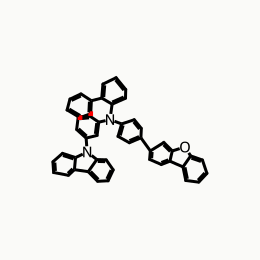 c1ccc(-c2ccccc2N(c2ccc(-c3ccc4c(c3)oc3ccccc34)cc2)c2cccc(-n3c4ccccc4c4ccccc43)c2)cc1